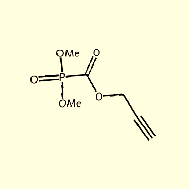 C#CCOC(=O)P(=O)(OC)OC